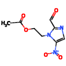 CC(=O)OCCn1c([N+](=O)[O-])cnc1C=O